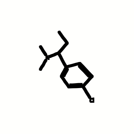 CCC(c1ccc(Cl)cc1)N(C)C